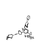 O=C(NO)c1cc(-c2ccc(C#Cc3cccnc3)cc2)nc(N2CC(N3CCOCC3)C2)c1